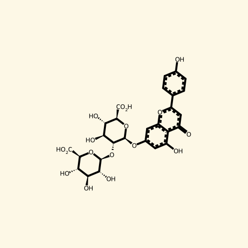 O=C(O)[C@H]1O[C@@H](O[C@H]2[C@H](Oc3cc(O)c4c(=O)cc(-c5ccc(O)cc5)oc4c3)O[C@H](C(=O)O)[C@@H](O)[C@@H]2O)[C@H](O)[C@@H](O)[C@@H]1O